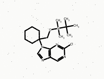 CC(C)(C)[Si](C)(C)OCC1(n2cnc3cnc(Cl)nc32)CCCCC1